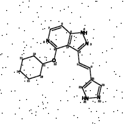 C(=C\c1n[nH]c2ccnc(OC3CCCCC3)c12)/c1cn[nH]c1